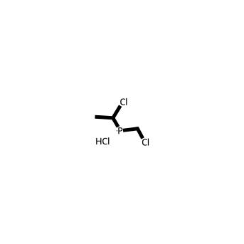 CC(Cl)[P]CCl.Cl